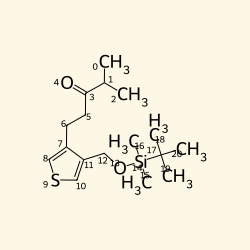 CC(C)C(=O)CCc1cscc1CO[Si](C)(C)C(C)(C)C